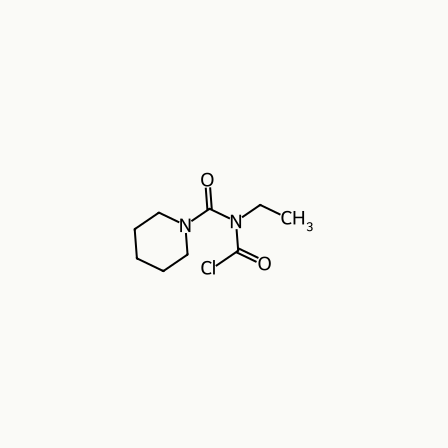 CCN(C(=O)Cl)C(=O)N1CCCCC1